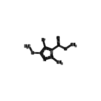 COC(=O)c1c(Br)c(OC)nn1C